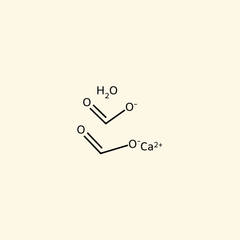 O.O=C[O-].O=C[O-].[Ca+2]